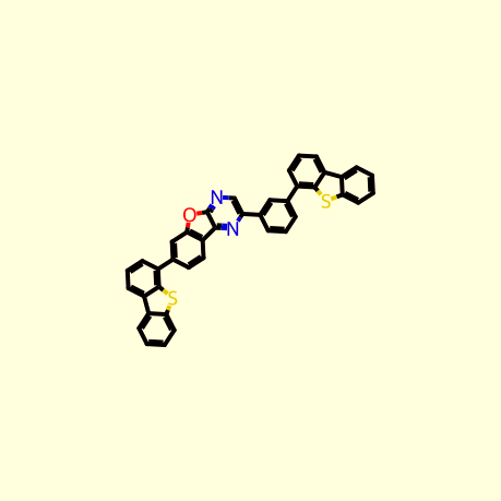 c1cc(-c2cnc3oc4cc(-c5cccc6c5sc5ccccc56)ccc4c3n2)cc(-c2cccc3c2sc2ccccc23)c1